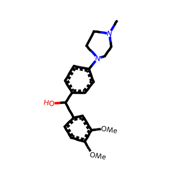 COc1ccc(C(O)c2ccc(N3CCN(C)CC3)cc2)cc1OC